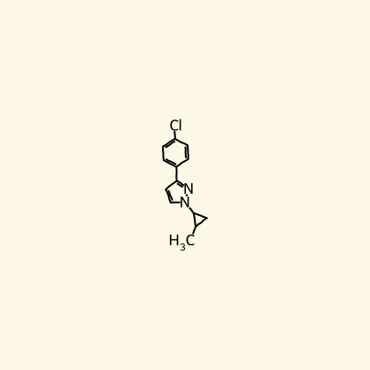 CC1CC1n1ccc(-c2ccc(Cl)cc2)n1